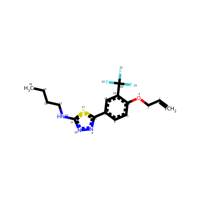 C=CCOc1ccc(-c2nnc(NCCCC)s2)cc1C(F)(F)F